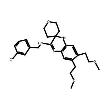 COCCc1cc2c(cc1CCOC)NC1(CCOCC1)C(NCc1cccc(Cl)c1)=N2